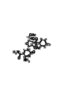 CC(=O)OC[C@H]1O[C@@H](n2cc(C(N)=O)c(N)nc2=O)[C@H](OC(C)=O)[C@]1(O)S(=O)(=O)c1ccc(C)cc1